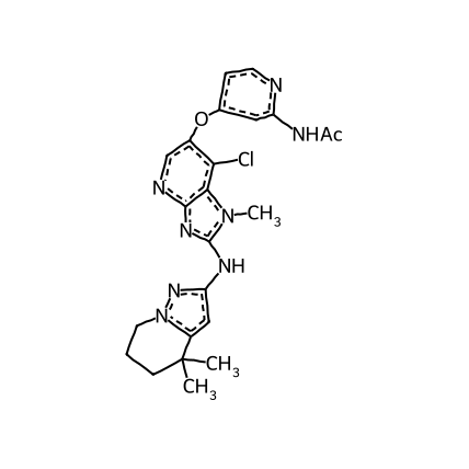 CC(=O)Nc1cc(Oc2cnc3nc(Nc4cc5n(n4)CCCC5(C)C)n(C)c3c2Cl)ccn1